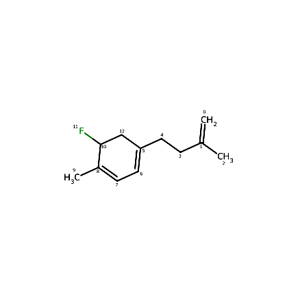 C=C(C)CCC1=CC=C(C)C(F)C1